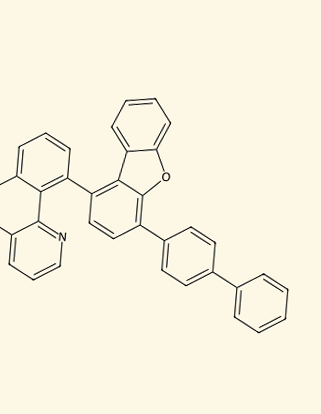 c1ccc(-c2ccc(-c3ccc(-c4cccc5ccc6cccnc6c45)c4c3oc3ccccc34)cc2)cc1